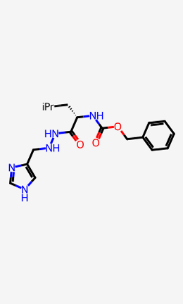 CC(C)C[C@H](NC(=O)OCc1ccccc1)C(=O)NNCc1c[nH]cn1